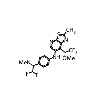 CN[C@@H](c1ccc(Nc2cnc3sc(C)nc3c2[C@@H](OC)C(F)(F)F)cc1)C(F)F